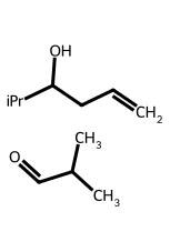 C=CCC(O)C(C)C.CC(C)C=O